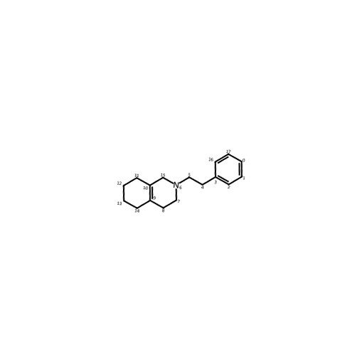 c1ccc(CCN2CCC3=C(CCCC3)C2)cc1